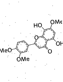 COc1ccc(-c2cc(=O)c3c(O)cc(OC)c(O)c3o2)cc1OC